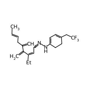 C=C(C/C=C/C)C(=C)/C(=C\C=N/NC1=CC=C(CC(F)(F)F)CC1)CC